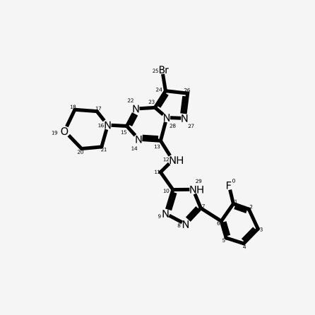 Fc1ccccc1-c1nnc(CNc2nc(N3CCOCC3)nc3c(Br)cnn23)[nH]1